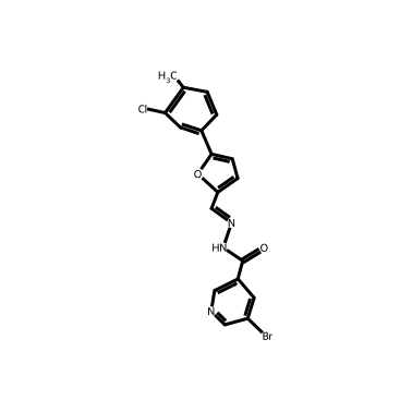 Cc1ccc(-c2ccc(/C=N/NC(=O)c3cncc(Br)c3)o2)cc1Cl